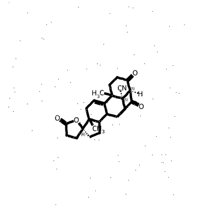 CC12CC=C3C(C4C[C@]5(C#N)[C@@H](C(=O)CCC35C)C4=O)C1CC[C@@]21CCC(=O)O1